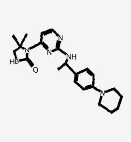 CC(Nc1nccc(N2C(=O)BCC2(C)C)n1)c1ccc(N2CCCCC2)cc1